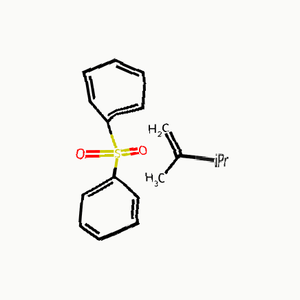 C=C(C)C(C)C.O=S(=O)(c1ccccc1)c1ccccc1